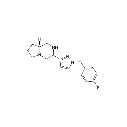 Fc1ccc(Cn2ccc(C3CN4CCC[C@@H]4CN3)n2)cc1